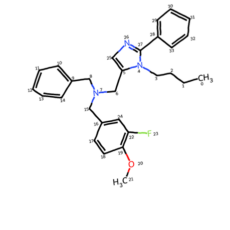 CCCCn1c(CN(Cc2ccccc2)Cc2ccc(OC)c(F)c2)cnc1-c1ccccc1